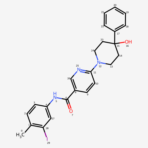 Cc1ccc(NC(=O)c2ccc(N3CCC(O)(c4ccccc4)CC3)nc2)cc1I